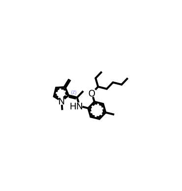 C=c1ccn(C)/c1=C(/C)Nc1ccc(C)cc1OC(CC)CCCC